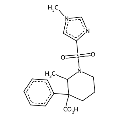 CC1N(S(=O)(=O)c2cn(C)cn2)CCCC1(C(=O)O)c1ccccc1